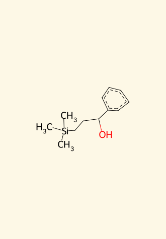 C[Si](C)(C)CCC(O)c1ccccc1